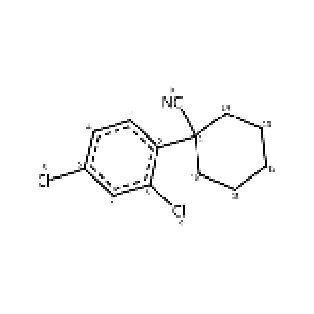 N#CC1(c2ccc(Cl)cc2Cl)CCCCC1